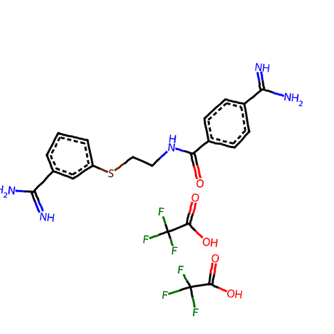 N=C(N)c1ccc(C(=O)NCCSc2cccc(C(=N)N)c2)cc1.O=C(O)C(F)(F)F.O=C(O)C(F)(F)F